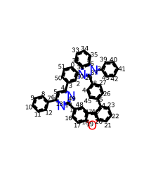 c1ccc(-c2cc(-c3ccccc3)nc(-c3ccc4oc5cccc(-c6ccc(-c7nc8ccccc8n7-c7ccccc7)cc6)c5c4c3)n2)cc1